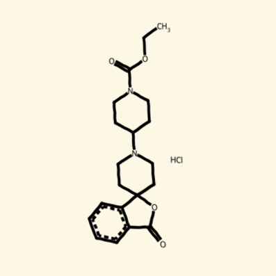 CCOC(=O)N1CCC(N2CCC3(CC2)OC(=O)c2ccccc23)CC1.Cl